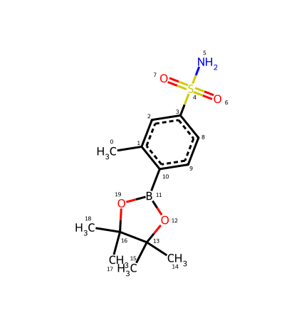 Cc1cc(S(N)(=O)=O)ccc1B1OC(C)(C)C(C)(C)O1